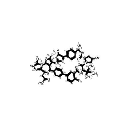 Cc1ncsc1-c1ccc([C@H](C)NC(=O)[C@@H]2C[C@@H](O)CN2C(=O)[C@@H](NC(=O)c2cc(-c3ccc(C4=N[C@@H](CC(=O)O)c5nnc(C)n5-c5sc(C)c(C)c54)cc3)ccc2F)C(C)(C)C)cc1